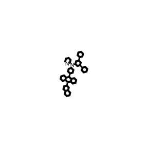 c1ccc(-c2cc(-c3ccccc3)cc(N(c3ccc(-c4c5ccccc5c(-c5ccc6ccccc6c5)c5ccccc45)cc3)c3ccccn3)c2)cc1